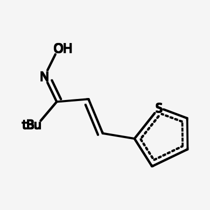 CC(C)(C)C(/C=C/c1cccs1)=N/O